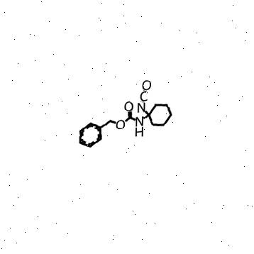 O=C=NC1(NC(=O)OCc2ccccc2)CCCCC1